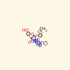 CCCN(C(=O)NCC1=CCCC=C1)N1CC(=O)N2[C@@H](Cc3ccc(O)cc3)C(=O)N(Cc3cccc4c3OC(C)C4)C[C@@H]21